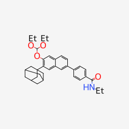 CCNC(=O)c1ccc(-c2ccc3cc(OC(OCC)OCC)c(C45CC6CC(CC(C6)C4)C5)cc3c2)cc1